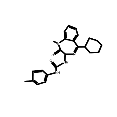 Cc1ccc(NC(=O)NC2N=C(C3CCCCC3)c3ccccc3N(C)C2=O)cc1